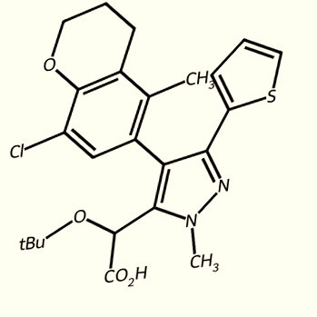 Cc1c(-c2c(-c3cccs3)nn(C)c2C(OC(C)(C)C)C(=O)O)cc(Cl)c2c1CCCO2